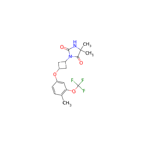 Cc1ccc(OC2CC(N3C(=O)NC(C)(C)C3=O)C2)cc1OC(F)(F)F